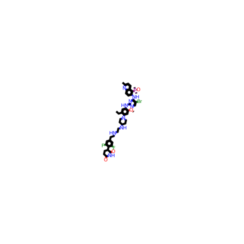 CCc1cc(Nc2ncc(Br)c(Nc3ccc4nc(C)ccc4c3P(C)(C)=O)n2)c(OC)cc1N1CCC(NCCNCCc2cc(F)c(C3CCC(=O)NC3=O)c(F)c2)CC1